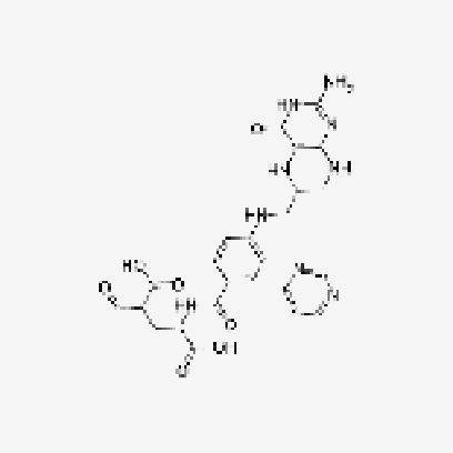 Nc1nc2c(c(=O)[nH]1)NC(CNc1ccc(C(=O)NC(CC(C=O)C(=O)O)C(=O)O)cc1)CN2.c1cncnc1